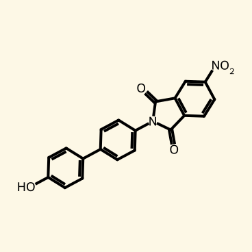 O=C1c2ccc([N+](=O)[O-])cc2C(=O)N1c1ccc(-c2ccc(O)cc2)cc1